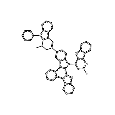 CC1CC(c2ccc3c(c2)c2c4ccccc4c4c5ccccc5sc4c2n3-c2nc(Cl)nc3c2sc2ccccc23)=Cc2c1n(-c1ccccc1)c1ccccc21